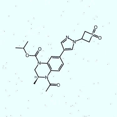 CC(=O)N1c2ccc(-c3cnn(C4CS(=O)(=O)C4)c3)cc2N(C(=O)OC(C)C)C[C@@H]1C